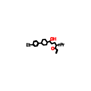 C=CC(=O)C(CCC)CCC(O)C1CCC(c2ccc(CC)cc2)CC1